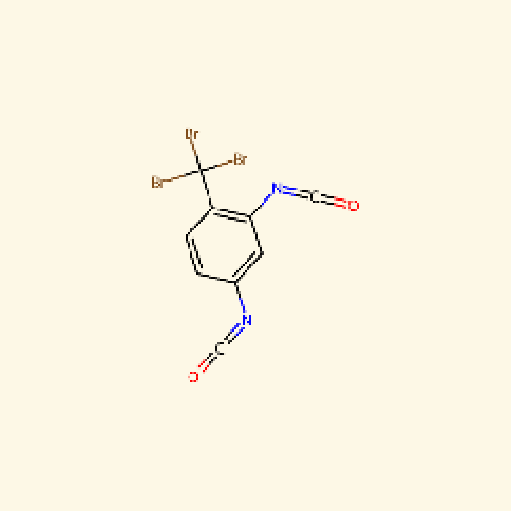 O=C=Nc1ccc(C(Br)(Br)Br)c(N=C=O)c1